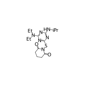 CCN(CC)c1nc(NC(C)C)nc(SN2C(=O)CCCC2=O)n1